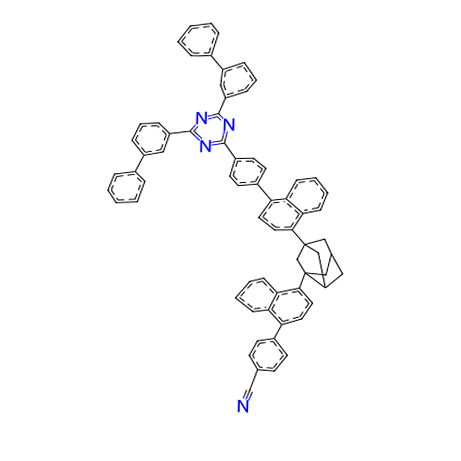 N#Cc1ccc(-c2ccc(C34CC5CC3CC(c3ccc(-c6ccc(-c7nc(-c8cccc(-c9ccccc9)c8)nc(-c8cccc(-c9ccccc9)c8)n7)cc6)c6ccccc36)(C5)C4)c3ccccc23)cc1